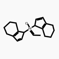 C[CH]=[Hf]([Cl])([CH]1C=CC2=C1CCCC2)[CH]1C=CC2=C1CCCC2